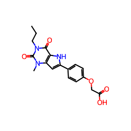 CCCn1c(=O)c2[nH]c(-c3ccc(OCC(=O)O)cc3)cc2n(C)c1=O